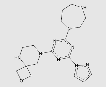 c1cnn(-c2nc(N3CCCNCC3)nc(N3CCNC4(COC4)C3)n2)c1